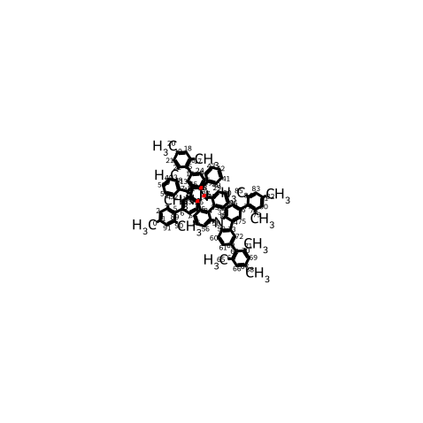 Cc1cc(C)c(-c2ccc3c(c2)c2cc(-c4c(C)cc(C)cc4C)ccc2n3-c2ccccc2-c2c(-c3nc(-c4ccccc4)cc(-c4ccccc4)n3)cccc2-n2c3ccc(-c4c(C)cc(C)cc4C)cc3c3cc(-c4c(C)cc(C)cc4C)ccc32)c(C)c1